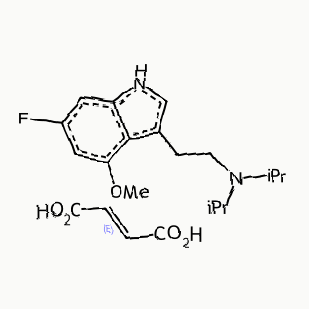 COc1cc(F)cc2[nH]cc(CCN(C(C)C)C(C)C)c12.O=C(O)/C=C/C(=O)O